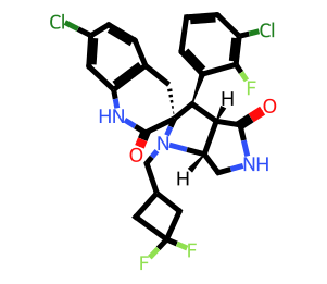 O=C1NC[C@H]2[C@@H]1[C@H](c1cccc(Cl)c1F)[C@@]1(Cc3ccc(Cl)cc3NC1=O)N2CC1CC(F)(F)C1